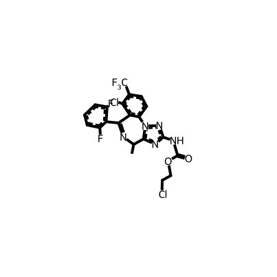 CC1N=C(c2c(F)cccc2F)c2c(ccc(C(F)(F)F)c2Cl)-n2nc(NC(=O)OCCCl)nc21